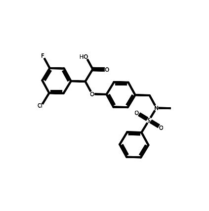 CN(Cc1ccc(OC(C(=O)O)c2cc(F)cc(Cl)c2)cc1)S(=O)(=O)c1ccccc1